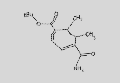 CC1C(C(N)=O)=CC=C(C(=O)OC(C)(C)C)C1C